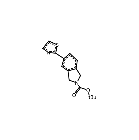 CC(C)(C)OC(=O)N1Cc2ccc(-c3nccs3)cc2C1